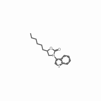 CCCCCCC1CN(c2csc3ccccc23)C(=O)O1